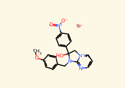 COc1ccc(CN2c3nccc[n+]3CC2(O)c2ccc([N+](=O)[O-])cc2)cc1.[Br-]